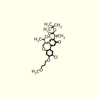 COCCCOc1cc2c(cc1Cl)-c1cc(=O)c(N(C)C(=O)OC(C)(C)C)cn1[C@H](C(C)C)CO2